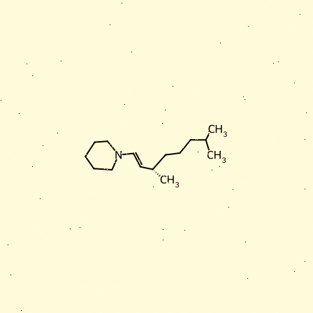 CC(C)CCC[C@H](C)/C=C/N1CCCCC1